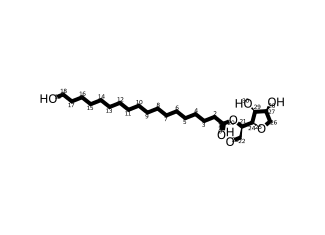 O=C(CCCCCCCCCCCCCCCCCO)O[C@H](CO)[C@H]1OC[C@H](O)[C@H]1O